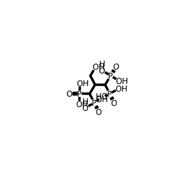 O=P(O)(O)C(C(CO)C(P(=O)(O)O)P(=O)(O)O)P(=O)(O)O